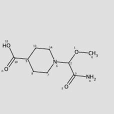 COC(C(N)=O)N1CCC(C(=O)O)CC1